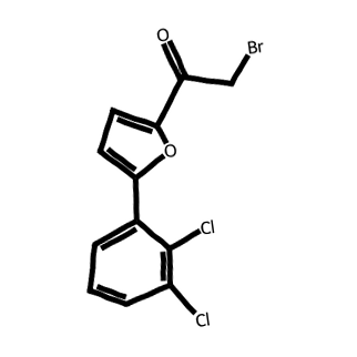 O=C(CBr)c1ccc(-c2cccc(Cl)c2Cl)o1